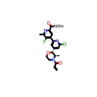 C=CC(=O)N1CCO[C@H](c2cc(Cl)nc(-c3cc(C(=O)NC)nc(C)c3F)c2)[C@H]1C